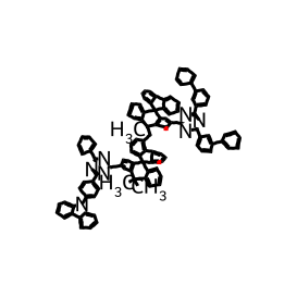 CC1(C)c2ccccc2C2(c3ccccc3-c3c(CC4(C)c5ccccc5C5(c6ccccc6-c6ccccc65)c5cc(-c6nc(-c7cccc(-c8ccccc8)c7)nc(-c7cccc(-c8ccccc8)c7)n6)ccc54)cccc32)c2ccc(-c3nc(-c4ccccc4)nc(-c4ccc(-n5c6ccccc6c6ccccc65)cc4)n3)cc21